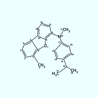 Cc1cccc2c1oc1c(N(C)c3ccc(C(C)C)cc3)cccc12